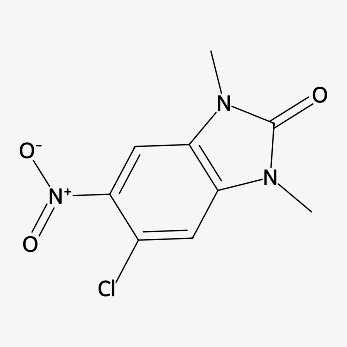 Cn1c(=O)n(C)c2cc([N+](=O)[O-])c(Cl)cc21